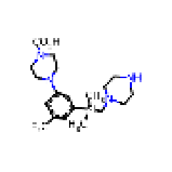 C[Si](C)(CN1CCNCC1)c1cc(N2CCN(C(=O)O)CC2)cc(C(F)(F)F)c1